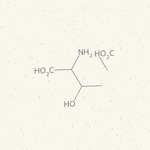 CC(=O)O.CC(O)C(N)C(=O)O